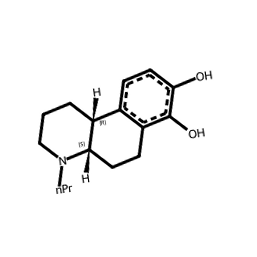 CCCN1CCC[C@@H]2c3ccc(O)c(O)c3CC[C@@H]21